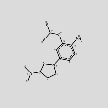 CN(C)C1CCN(c2ccc(N)c(OC(F)F)c2)C1